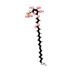 CCCCCCCCCCCCCCCCCC(=O)OCCCO[C@H]1O[C@H](CS(=O)(=O)O)[C@@H](O)[C@H](O)[C@H]1O